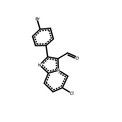 O=Cc1c(-c2ccc(Br)cc2)nc2ccc(Cl)cn12